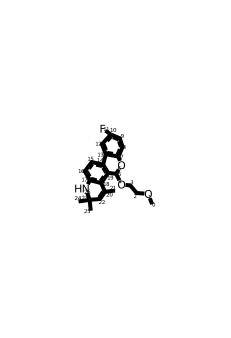 COCCOC1Oc2ccc(F)cc2-c2ccc3c(c21)C(C)=CC(C)(C)N3